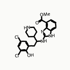 COC(=O)c1cccc2[nH]c(NC(Cc3cc(Cl)cc(Cl)c3O)C3CCNCC3)nc12